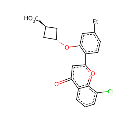 CCc1ccc(-c2cc(=O)c3cccc(Cl)c3o2)c(O[C@H]2C[C@H](C(=O)O)C2)c1